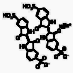 O=C1/C(=C2\Nc3ccc(S(=O)(=O)O)cc3C2=O)Nc2ccc(S(=O)(=O)[O-])cc21.O=C1/C(=C2\Nc3ccc(S(=O)(=O)O)cc3C2=O)Nc2ccc(S(=O)(=O)[O-])cc21.[Na+].[Na+]